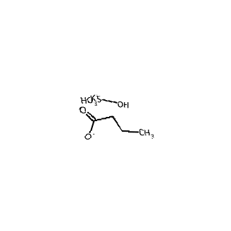 CCCC(=O)[O-].O=S(=O)(O)O.[K+]